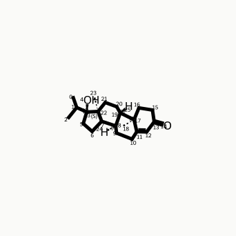 CC(C)[C@@]1(O)CCC2[C@@H]3CCC4=CC(=O)CC[C@]4(C)[C@H]3CC[C@@]21C